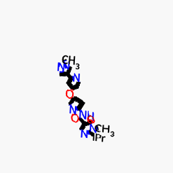 CC(C)c1ncc(C(=O)Nc2ccc(Oc3ccnc(-c4cnn(C)c4)c3)cn2)c(=O)n1C